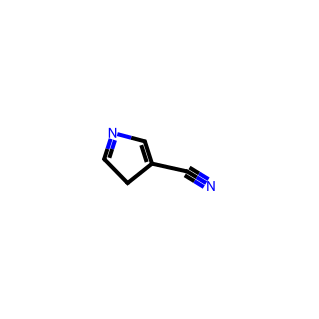 N#CC1=CN=CC1